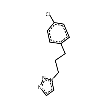 Clc1ccc(CCCn2ccnn2)cc1